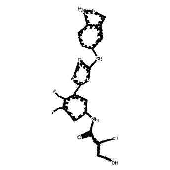 O=C(Nc1cc(F)c(F)c(-c2nnc(Nc3ccc4[nH]ncc4c3)s2)c1)C(O)CO